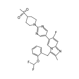 Cc1nc2cc(F)c(-c3cnc(N4CCC(S(C)(=O)=O)CC4)nc3)cn2c1Cc1ccccc1OC(F)F